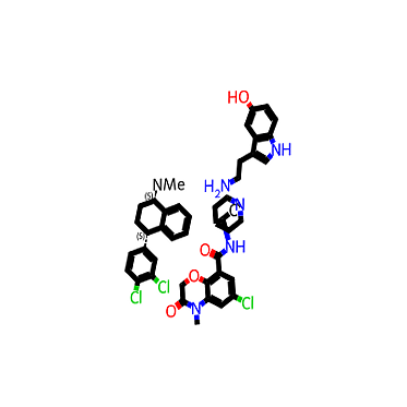 CN1C(=O)COc2c(C(=O)NC3CN4CCC3CC4)cc(Cl)cc21.CN[C@H]1CC[C@@H](c2ccc(Cl)c(Cl)c2)c2ccccc21.NCCc1c[nH]c2ccc(O)cc12